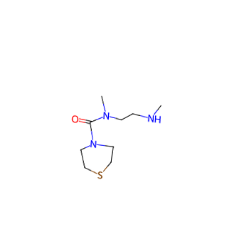 CNCCN(C)C(=O)N1CCSCC1